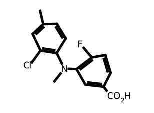 Cc1ccc(N(C)c2cc(C(=O)O)ccc2F)c(Cl)c1